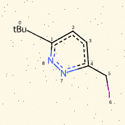 CC(C)(C)c1ccc(CI)nn1